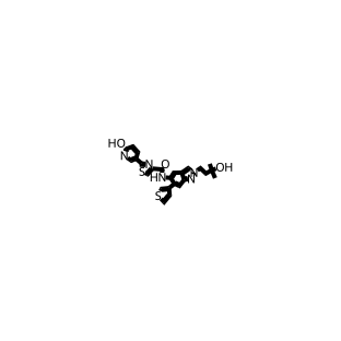 CC(C)(O)CCn1cc2cc(NC(=O)c3csc(-c4ccc(O)nc4)n3)c(-c3ccsc3)cc2n1